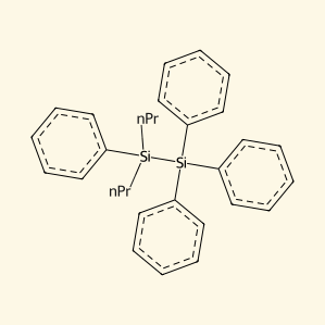 CCC[Si](CCC)(c1ccccc1)[Si](c1ccccc1)(c1ccccc1)c1ccccc1